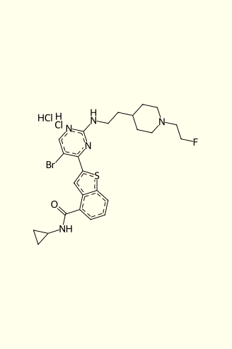 Cl.Cl.O=C(NC1CC1)c1cccc2sc(-c3nc(NCCC4CCN(CCF)CC4)ncc3Br)cc12